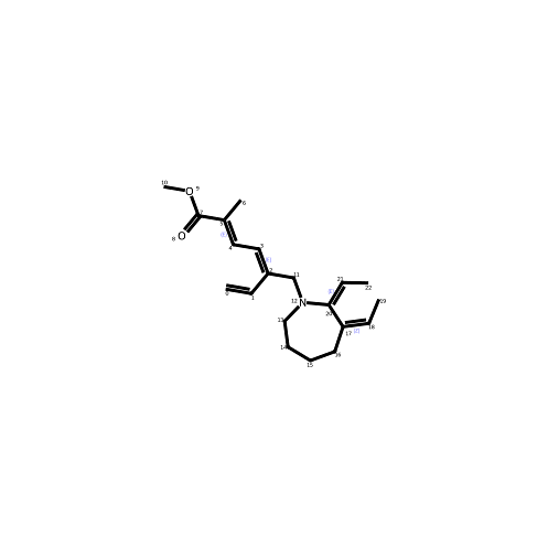 C=C/C(=C\C=C(/C)C(=O)OC)CN1CCCCC(=C/C)/C1=C\C